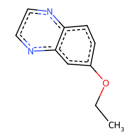 CCOc1ccc2nccnc2c1